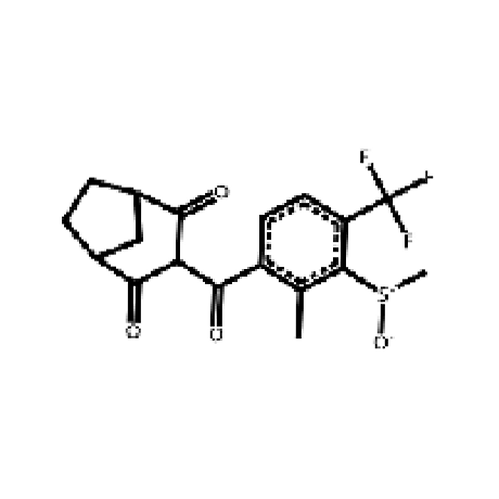 Cc1c(C(=O)C2C(=O)C3CCC(C3)C2=O)ccc(C(F)(F)F)c1[S+](C)[O-]